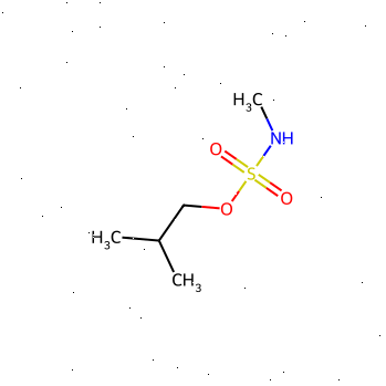 CNS(=O)(=O)OCC(C)C